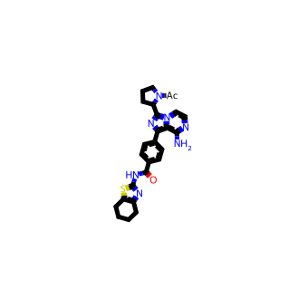 CC(=O)N1CCCC1c1nc(-c2ccc(C(=O)Nc3nc4c(s3)CCCC4)cc2)c2c(N)nccn12